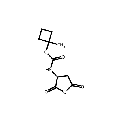 CC1(OC(=O)N[C@H]2CC(=O)OC2=O)CCC1